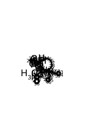 Cc1nc2ccccc2c2c1O[C@]1(CC2)C[C@H]2C(=O)N[C@]3(C(=O)NS(=O)(=O)C4(C)CC4)C[C@H]3/C=C\CCCCC[C@H](N(CCC3CCCC3)CCC3CCCC3)C(=O)N2C1